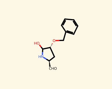 O=C[C@@H]1C[C@@H](OCc2ccccc2)C(O)N1